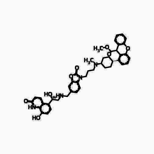 COC(=O)C1c2ccccc2Oc2cccc([C@H]3CC[C@H](N(C)CCCn4c(=O)oc5cc(CNC[C@H](O)c6ccc(O)c7[nH]c(=O)ccc67)ccc54)CC3)c21